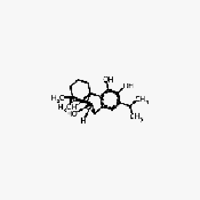 CC(C)c1cc2c(c(O)c1O)[C@@]13CCCC(C)(C)[C@@H]1[C@@H](O)C2OC3=O